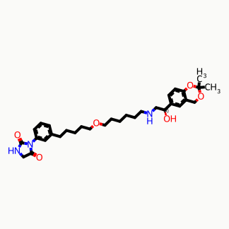 CC1(C)OCc2cc([C@@H](O)CNCCCCCCOCCCCCc3cccc(N4C(=O)CNC4=O)c3)ccc2O1